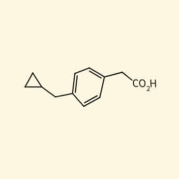 O=C(O)Cc1ccc(CC2CC2)cc1